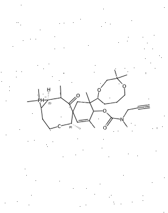 C#CCN(C)C(=O)OC1C(C)=CC2(CC1(C)C1CCCOC(C)(C)CO1)C(=O)C(C)[C@H]1C(CCC[C@H]2C)[PH]1(C)C